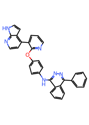 c1ccc(-c2nnc(Nc3ccc(Oc4ncccc4-c4ccnc5[nH]ccc45)cc3)c3ccccc23)cc1